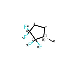 C[C@H]1CCC(F)(F)C1(F)F